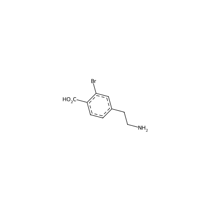 NCCc1ccc(C(=O)O)c(Br)c1